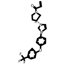 C=CC(=O)N1CC[C@@H](N2C=CN(c3ccc(Oc4ccc(C(F)(F)F)cc4)cc3)C2)C1